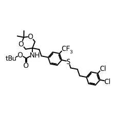 CC(C)(C)OC(=O)NC1(CCc2ccc(SCCCc3ccc(Cl)c(Cl)c3)c(C(F)(F)F)c2)COC(C)(C)OC1